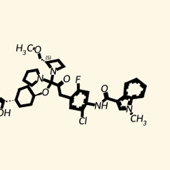 COC[C@@H]1CCN1C(O[C@H]1CC[C@H](C(=O)O)CC1)(C(=O)Cc1cc(Cl)c(NC(=O)c2cn(C)c3ccccc23)cc1F)N1CCCC1